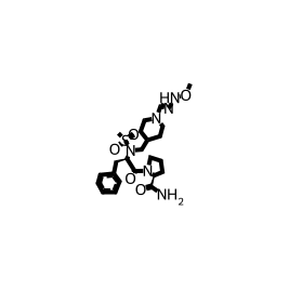 CONN=CN1CCC(CN([C@H](Cc2ccccc2)C(=O)N2CCC[C@H]2C(N)=O)S(C)(=O)=O)CC1